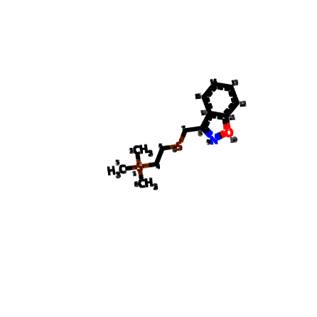 CS(C)(C)CCSCc1noc2ccccc12